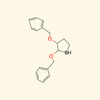 B1CCC(OCc2ccccc2)C1OCc1ccccc1